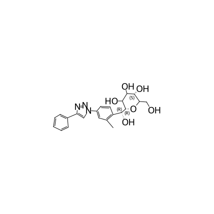 Cc1cc(-n2cc(-c3ccccc3)nn2)ccc1[C@@H](O)[C@H]1OC(CO)[C@@H](O)C(O)C1O